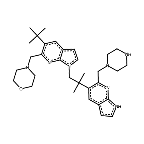 CC(C)(C)c1cc2ccn(CC(C)(C)c3cc4cc[nH]c4nc3CN3CCNCC3)c2nc1CN1CCOCC1